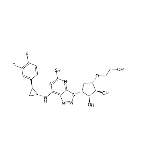 OCCO[C@H]1C[C@@H](n2nnc3c(N[C@@H]4C[C@H]4c4ccc(F)c(F)c4)nc(S)nc32)[C@H](O)[C@@H]1O